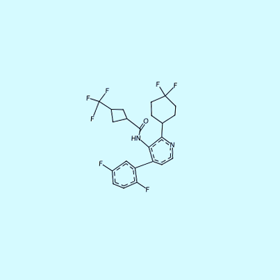 O=C(Nc1c(-c2cc(F)ccc2F)ccnc1C1CCC(F)(F)CC1)C1CC(C(F)(F)F)C1